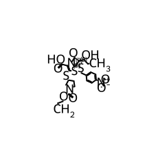 C=CCOC(=O)N1CCC(SC2=C(C(=O)O)N3C(=O)[C@@H]([C@@H](O)CC)[C@@]3(SCc3ccc([N+](=O)[O-])cc3)S2)C1